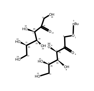 CCCCOCC(=O)[C@H](O)[C@@H](O)[C@H](O)CO.O=C(CO)[C@H](O)[C@@H](O)[C@H](O)CO